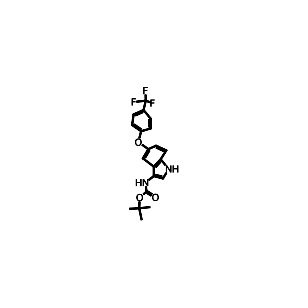 CC(C)(C)OC(=O)Nc1c[nH]c2ccc(Oc3ccc(C(F)(F)F)cc3)cc12